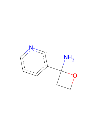 NC1(c2[c]nccc2)CCO1